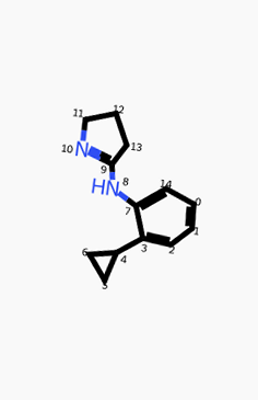 c1ccc(C2CC2)c(NC2=NCCC2)c1